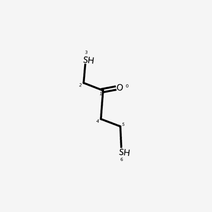 O=C(CS)CCS